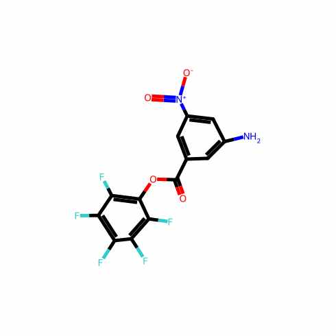 Nc1cc(C(=O)Oc2c(F)c(F)c(F)c(F)c2F)cc([N+](=O)[O-])c1